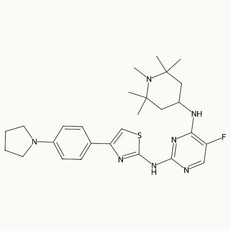 CN1C(C)(C)CC(Nc2nc(Nc3nc(-c4ccc(N5CCCC5)cc4)cs3)ncc2F)CC1(C)C